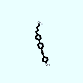 CCCCCc1ccc(-c2ccc(C#Cc3ccc(O)cc3)cc2)cc1